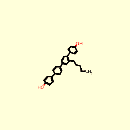 CCCCCc1cc(-c2ccc(-c3ccc(O)cc3)cc2)ccc1-c1ccc(O)cc1